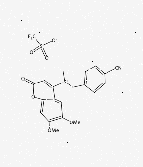 COc1cc2oc(=O)cc([S+](C)Cc3ccc(C#N)cc3)c2cc1OC.O=S(=O)([O-])C(F)(F)F